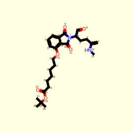 C=C(CCC(C=O)N1C(=O)c2cccc(OCCCCCCC(=O)OC(C)(C)C)c2C1=O)NC